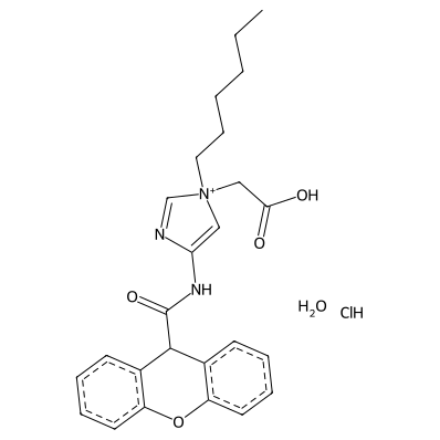 CCCCCC[N+]1(CC(=O)O)C=NC(NC(=O)C2c3ccccc3Oc3ccccc32)=C1.Cl.O